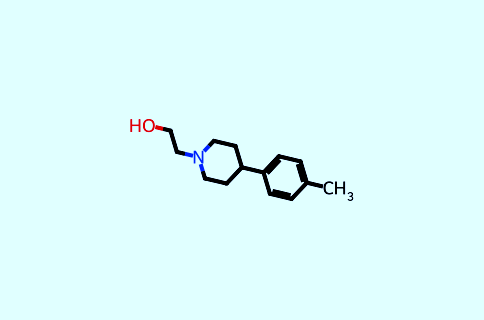 Cc1ccc(C2CCN(CCO)CC2)cc1